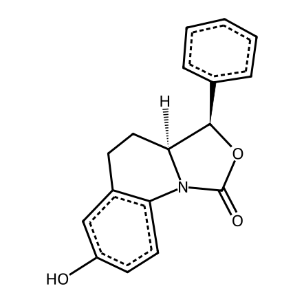 O=C1O[C@H](c2ccccc2)[C@@H]2CCc3cc(O)ccc3N12